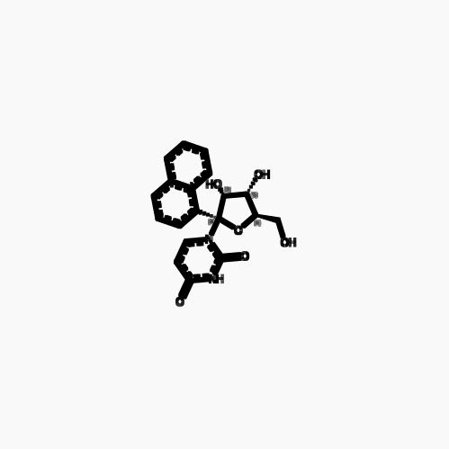 O=c1ccn([C@]2(c3cccc4ccccc34)O[C@H](CO)[C@@H](O)[C@H]2O)c(=O)[nH]1